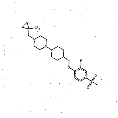 CS(=O)(=O)c1ccc(OCC2CCC(N3CCN(CC4(C(F)(F)F)CC4)CC3)CC2)c(F)c1